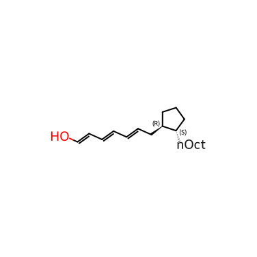 CCCCCCCC[C@H]1CCC[C@@H]1CC=CC=CC=CO